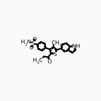 CCC(=O)c1sc(-c2ccc3[nH]ccc3c2)c(C)c1-c1ccc(S(N)(=O)=O)cc1